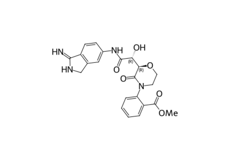 COC(=O)c1ccccc1N1CCO[C@H]([C@@H](O)C(=O)Nc2ccc3c(c2)CNC3=N)C1=O